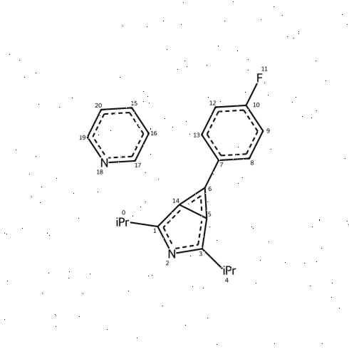 CC(C)c1nc(C(C)C)c2c(-c3ccc(F)cc3)c1-2.c1ccncc1